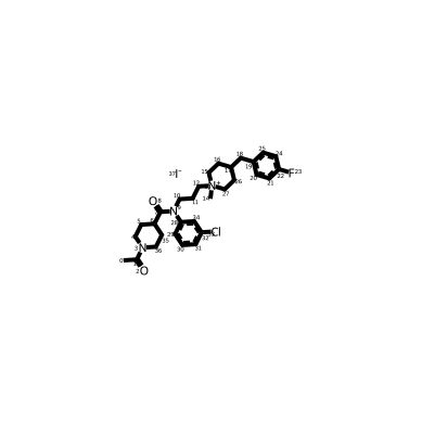 CC(=O)N1CCC(C(=O)N(CCC[N+]2(C)CCC(Cc3ccc(F)cc3)CC2)c2cccc(Cl)c2)CC1.[I-]